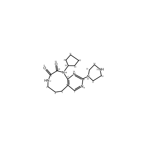 O=C1NCCCc2cnc(N3CCNCC3)nc2N(C2CCCC2)C1=O